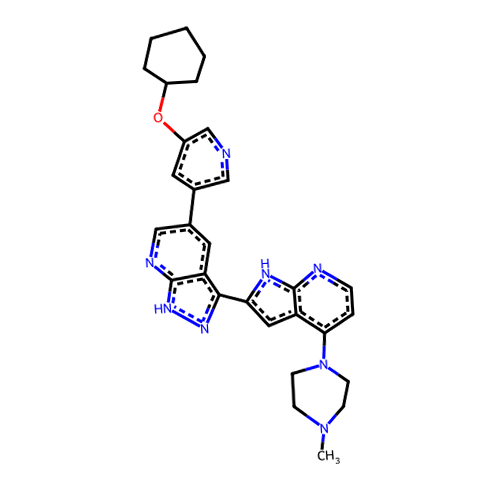 CN1CCN(c2ccnc3[nH]c(-c4n[nH]c5ncc(-c6cncc(OC7CCCCC7)c6)cc45)cc23)CC1